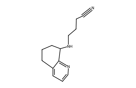 N#CCCCNC1CCCc2cccnc21